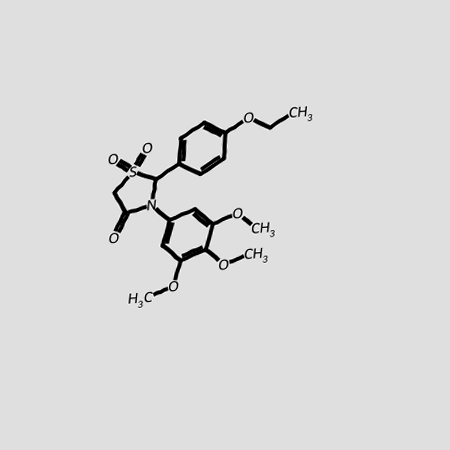 CCOc1ccc(C2N(c3cc(OC)c(OC)c(OC)c3)C(=O)CS2(=O)=O)cc1